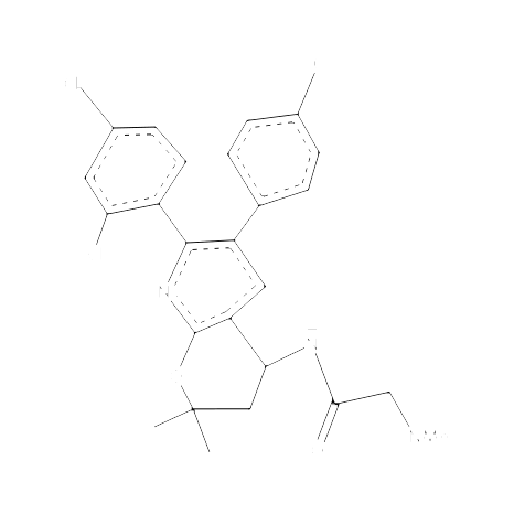 CNCC(=O)NC1CC(C)(C)Oc2nc(-c3ccc(Cl)cc3Cl)c(-c3ccc(Cl)cc3)cc21